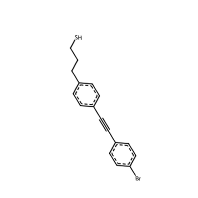 SCCCc1ccc(C#Cc2ccc(Br)cc2)cc1